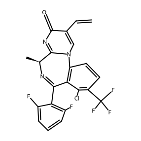 C=Cc1cn2c(nc1=O)[C@H](C)N=C(c1c(F)cccc1F)c1c-2ccc(C(F)(F)F)c1Cl